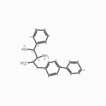 CC(Cc1ccc(-c2ccccc2)cc1)C(N)C(O)c1ccccc1